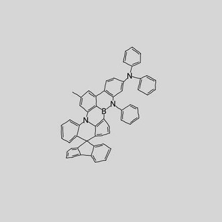 Cc1cc2c3c(c1)N1c4ccccc4C4(c5ccccc5-c5ccccc54)c4cccc(c41)B3N(c1ccccc1)c1cc(N(c3ccccc3)c3ccccc3)ccc1-2